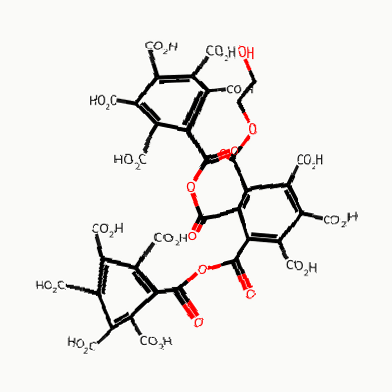 O=C(O)c1c(C(=O)O)c(C(=O)O)c(C(=O)OC(=O)c2c(C(=O)O)c(C(=O)O)c(C(=O)O)c(C(=O)OCCO)c2C(=O)OC(=O)c2c(C(=O)O)c(C(=O)O)c(C(=O)O)c(C(=O)O)c2C(=O)O)c(C(=O)O)c1C(=O)O